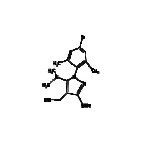 CSc1nn(-c2c(C)cc(Br)cc2C)c(N(C)C)c1CO